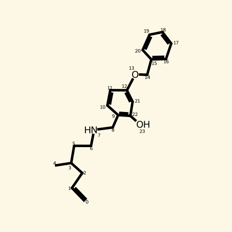 C=CCC(C)CCNCc1ccc(OCc2ccccc2)cc1O